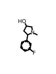 CN1CC(O)CC1c1cccc(F)c1